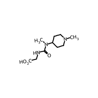 CN1CCC(N(C)C(=O)NCC(=O)O)CC1